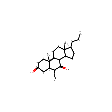 CCC1C(=O)C2C3CCC(CCC#N)C3(C)CCC2C2(C)CCC(=O)CC12